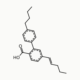 CCCC=Cc1ccc(C(=O)O)c(-c2ccc(CCCC)cc2)c1